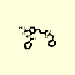 O=C(Nc1cc(C=CC2=COC(Cc3ccccc3)O2)ccc1C(=O)O)c1ccccc1